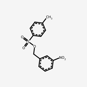 Cc1ccc(S(=O)(=O)OCc2cccc([N+](=O)[O-])c2)cc1